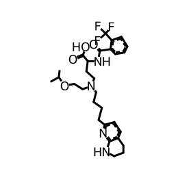 CC(C)OCCN(CCCCc1ccc2c(n1)NCCC2)CCC(NC(=O)c1ccccc1C(F)(F)F)C(=O)O